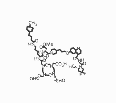 C#C[C@H]1CC(F)(F)CN1C(=O)CNC(=O)c1ccnc2ccc(OCCCC3CCN(C(=O)[C@H](CC(=O)OC)NC(=O)C(CCCCNC(=O)CCCc4ccc(C)cc4)NC(=O)CN4CCN(COC=O)CCN(COC=O)CCN(CC(=O)O)CC4)CC3)cc12